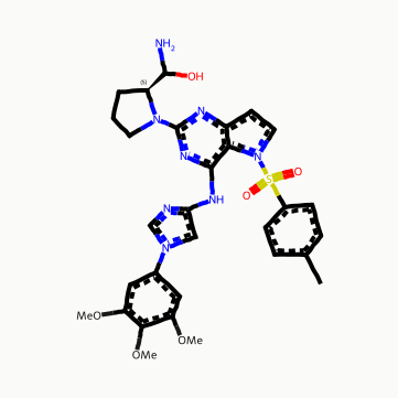 COc1cc(-n2cnc(Nc3nc(N4CCC[C@H]4C(N)O)nc4ccn(S(=O)(=O)c5ccc(C)cc5)c34)c2)cc(OC)c1OC